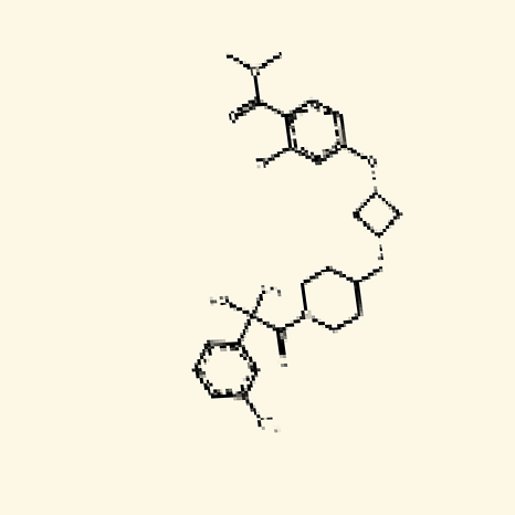 CN(C)C(=O)c1ccc(O[C@H]2C[C@@H](CC3CCN(C(=O)C(O)(c4cccc(C(F)(F)F)c4)C(F)(F)F)CC3)C2)cc1Cl